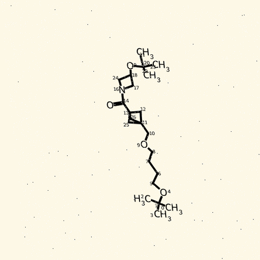 CC(C)(C)OCCCCOCC12CC(C(=O)N3CC(OC(C)(C)C)C3)(C1)C2